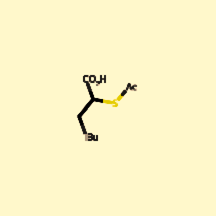 CCC(C)CC(SC(C)=O)C(=O)O